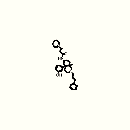 CC12CCC(NC(=O)CCN3CCCCC3)CC1(c1cccc(O)c1)CCN(CCCc1ccccc1)C2